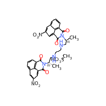 CS(=O)(=O)O.C[C@@H](CNCCNC[C@H](C)N1C(=O)c2cccc3cc([N+](=O)[O-])cc(c23)C1=O)N1C(=O)c2cccc3cc([N+](=O)[O-])cc(c23)C1=O